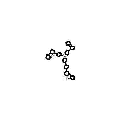 c1ccc2c(c1)-c1cccc(-c3ccc(N(c4ccc(-c5ccc(-c6ccc7[nH]c8ccccc8c7c6)cc5)cc4)c4ccc(-c5cccc6c5oc5ccccc56)cc4)cc3)c1-2